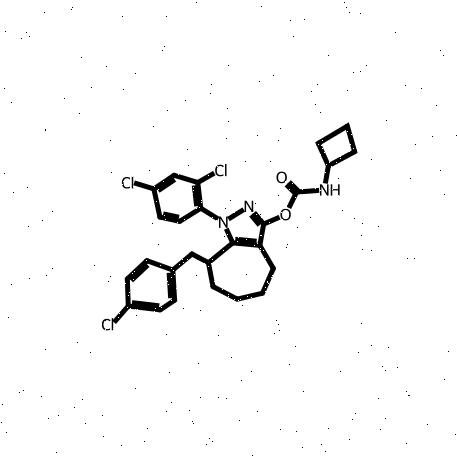 O=C(NC1CCC1)Oc1nn(-c2ccc(Cl)cc2Cl)c2c1CCCCC2Cc1ccc(Cl)cc1